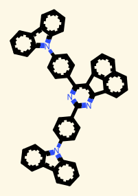 c1cc2c3c(cccc3c1)-c1c(-c3ccc(-n4c5ccccc5c5ccccc54)cc3)nc(-c3ccc(-n4c5ccccc5c5ccccc54)cc3)nc1-2